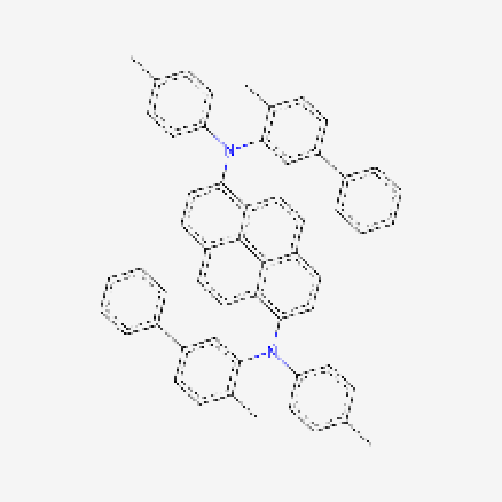 Cc1ccc(N(c2cc(-c3ccccc3)ccc2C)c2ccc3ccc4c(N(c5ccc(C)cc5)c5cc(-c6ccccc6)ccc5C)ccc5ccc2c3c54)cc1